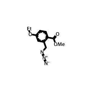 CCOc1ccc(C(=O)OC)c(CN=[N+]=[N-])c1